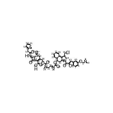 CN(C)COc1ccc2oc(C(=O)N3CC(CCl)C4C5C=CC=CC5C(OC(=O)N(C)CCN(C)C(=O)OCC5=C(C(=O)O)N6C(=O)C(NC(=O)Cc7cccs7)C6[S+]([O-])C5)CC43)cc2c1